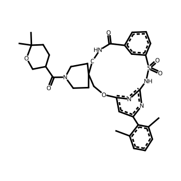 Cc1cccc(C)c1-c1cc2nc(n1)NS(=O)(=O)c1cccc(c1)C(=O)NCC1(CCN(C(=O)C3CCC(C)(C)OC3)CC1)CO2